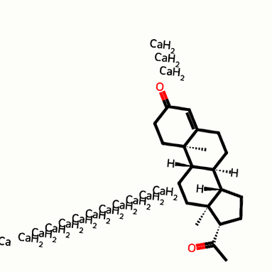 CC(=O)[C@H]1CC[C@H]2[C@@H]3CCC4=CC(=O)CC[C@]4(C)[C@H]3CC[C@]12C.[CaH2].[CaH2].[CaH2].[CaH2].[CaH2].[CaH2].[CaH2].[CaH2].[CaH2].[CaH2].[CaH2].[CaH2].[CaH2].[CaH2].[CaH2]